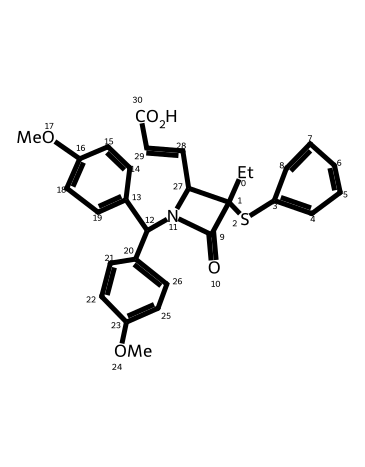 CCC1(Sc2ccccc2)C(=O)N(C(c2ccc(OC)cc2)c2ccc(OC)cc2)C1C=CC(=O)O